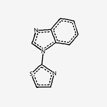 c1ccc2c(c1)ncn2-c1nccs1